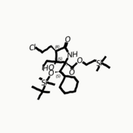 CC(C)(C)[Si](C)(C)O[C@@H](C1CCCCC1)[C@@]1(C(=O)OCC[Si](C)(C)C)NC(=O)[C@H](CCCl)[C@@]1(O)CI